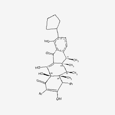 CC(=O)C1=C(O)C(C(C)C)[C@@]2(C)[C@H](C)[C@]3(C)C(=C(O)[C@@]2(O)C1=O)C(=O)c1c(ccc(C2CCCC2)c1O)[C@H]3C